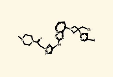 CN1CCN(C(=O)Cn2cc(Nc3nc4c(N5CC(CC#N)(n6cc(I)cn6)C5)cccn4n3)cn2)CC1